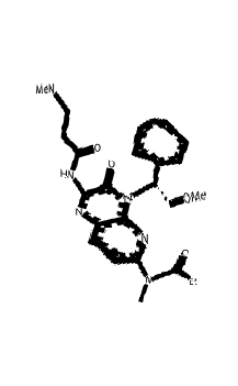 CCC(=O)N(C)c1ccc2nc(NC(=O)CCNC)c(=O)n([C@@H](COC)c3ccccc3)c2n1